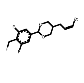 CC/C=C\CC1COC(c2cc(F)c(CF)c(F)c2)OC1